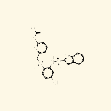 O=C(O)Nc1cccc(CS(=O)(=O)c2ccc(Cl)cc2NS(=O)(=O)c2cc3ccccc3o2)n1